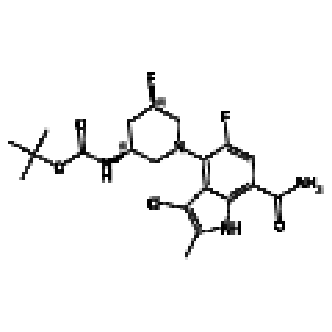 Cc1[nH]c2c(C(N)=O)cc(F)c(N3C[C@H](F)C[C@H](NC(=O)OC(C)(C)C)C3)c2c1Cl